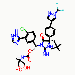 CC(C)(C)C[C@]1(c2ccc(-c3cnn(C(F)F)c3)cc2)NC(=N)N([C@H](COC(=O)NC(C)(CO)CO)c2ccc(Cl)c(-c3ncn[nH]3)c2)C1=O